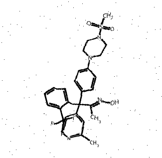 CC(=NO)C(c1ccc(N2CCN(S(C)(=O)=O)CC2)cc1)(c1ccnc(C)c1)c1ccccc1C(F)(F)F